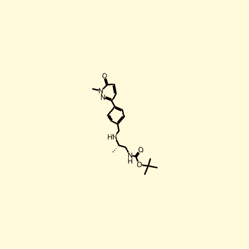 C[C@@H](CNC(=O)OC(C)(C)C)NCc1ccc(-c2ccc(=O)n(C)n2)cc1